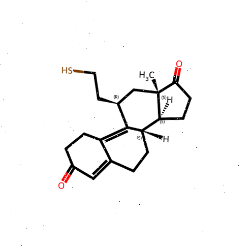 C[C@]12C[C@H](CCS)C3=C4CCC(=O)C=C4CC[C@H]3[C@@H]1CCC2=O